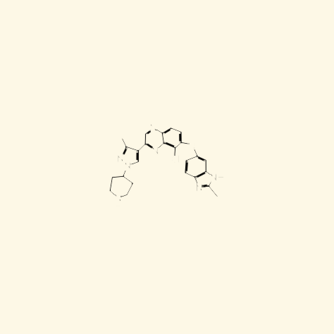 Cc1nc2ccc(Oc3ccc4ncc(-c5cn(C6CCNCC6)nc5C)nc4c3Cl)cc2[nH]1